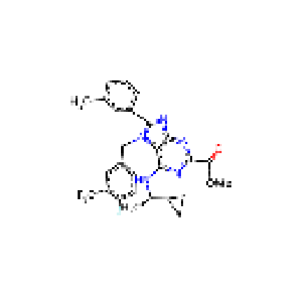 COC(=O)c1nc(N[C@H](C)C2CC2)c2c(n1)nc(-c1cccc(C)c1)n2Cc1ccc(F)c(C(F)(F)F)c1